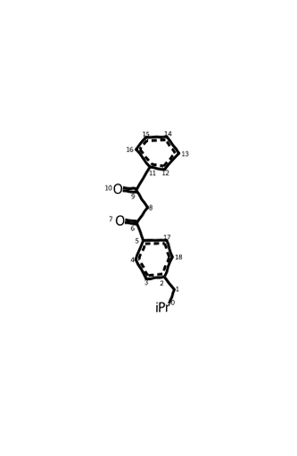 CC(C)Cc1ccc(C(=O)CC(=O)c2ccccc2)cc1